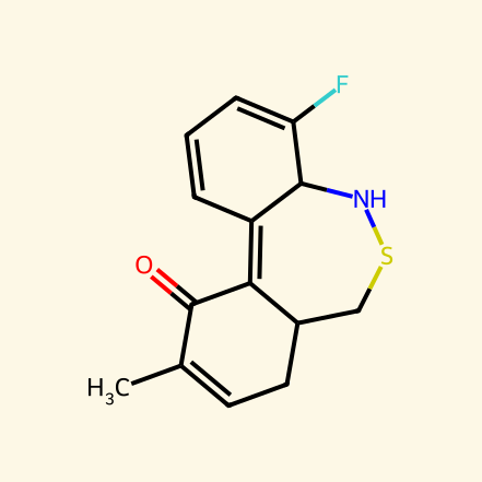 CC1=CCC2CSNC3C(F)=CC=CC3=C2C1=O